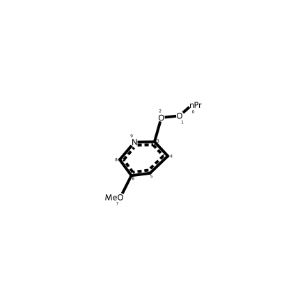 CCCOOc1ccc(OC)cn1